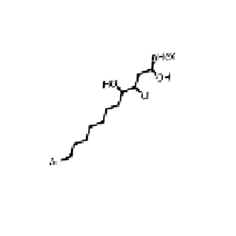 CCCCCCC(O)CC(Cl)C(O)CCCCCCCC(C)=O